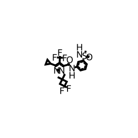 CC1(Cn2nc(C3CC3)c(C(F)(F)F)c2C(=O)Nc2cccc(S(C)(=N)=O)c2)CC(F)(F)C1